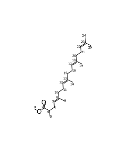 COC(=O)C(C)C/C=C(\C)CC/C=C(\C)CC/C=C(\C)CCC=C(C)C